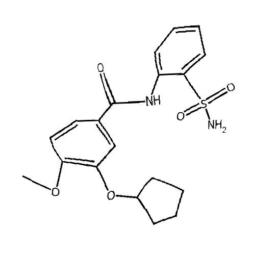 COc1ccc(C(=O)Nc2ccccc2S(N)(=O)=O)cc1OC1CCCC1